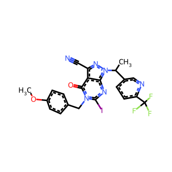 COc1ccc(Cn2c(I)nc3c(c(C#N)nn3C(C)c3ccc(C(F)(F)F)nc3)c2=O)cc1